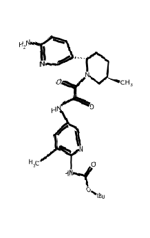 Cc1cc(NC(=O)C(=O)N2C[C@H](C)CC[C@H]2c2ccc(N)nc2)cnc1NC(=O)OC(C)(C)C